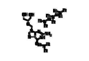 CCN(CC)CC.CCN(CC)CC.CCN(CC)CC.CCN(CC)CC.Nc1nc2c(ncn2COC(CO)CO)c(=O)[nH]1